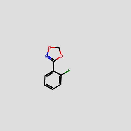 Fc1ccccc1C1=NOCO1